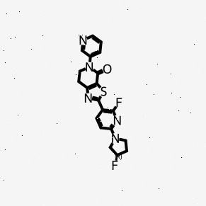 O=C1c2sc(-c3ccc(N4CC[C@@H](F)C4)nc3F)nc2CCN1c1cccnc1